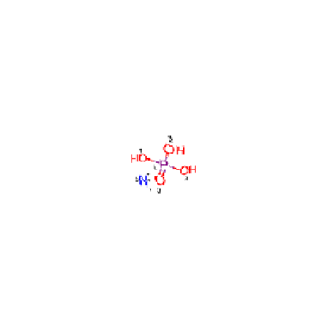 O=P(O)(O)O.[N]